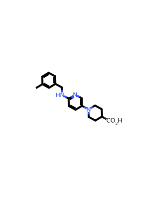 Cc1cccc(CNc2ccc(N3CCC(C(=O)O)CC3)cn2)c1